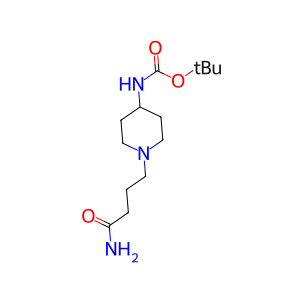 CC(C)(C)OC(=O)NC1CCN(CCCC(N)=O)CC1